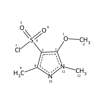 COc1c(S(=O)(=O)Cl)c(C)nn1C